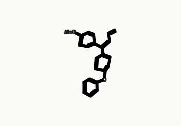 C=C/C=C(\c1ccc(OC)cc1)c1ccc(Oc2ccccc2)cc1